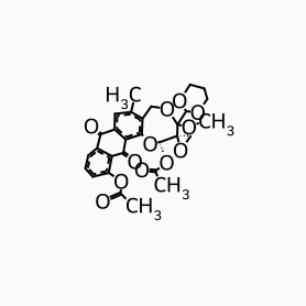 COC1(C2OCCCO2)OCc2c(C)cc3c(c2O[C@@H](OC(C)=O)[C@@]12CO2)C(=O)c1c(OC(C)=O)cccc1C3=O